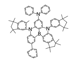 Cc1cc2c(cc1N1c3ccc(-c4ccccc4)cc3B3c4cc5c(cc4N(c4ccc6c(c4)C(C)(C)CC6(C)C)c4cc(N(c6ccccc6)c6ccccc6)cc1c43)C(C)(C)CC5(C)C)C(C)(C)CC2(C)C